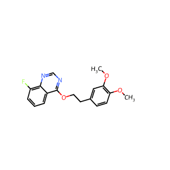 COc1ccc(CCOc2ncnc3c(F)cccc23)cc1OC